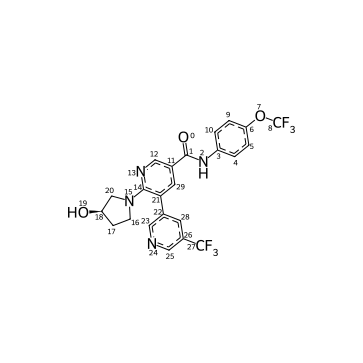 O=C(Nc1ccc(OC(F)(F)F)cc1)c1cnc(N2CC[C@@H](O)C2)c(-c2cncc(C(F)(F)F)c2)c1